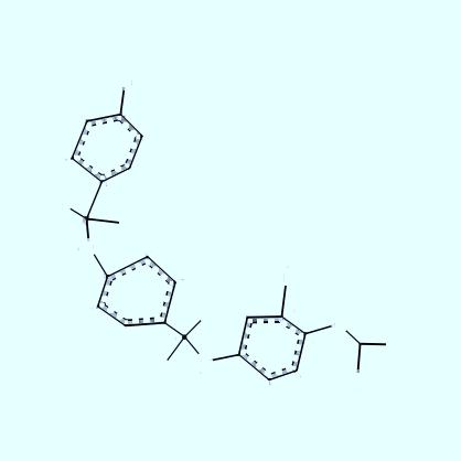 CCc1ccc(C(F)(F)Oc2ccc(C(F)(F)Oc3ccc(OC(F)F)c(F)c3)cc2)cc1